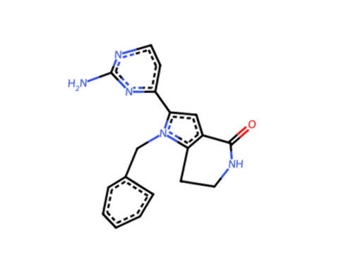 Nc1nccc(-c2cc3c(n2Cc2ccccc2)CCNC3=O)n1